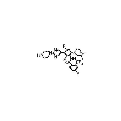 CC1CN(c2cc(F)c(-c3cnc(N4CCNCC4)nc3)c(F)c2NC(=O)c2ccc(F)cc2C(F)(F)F)CCN1C